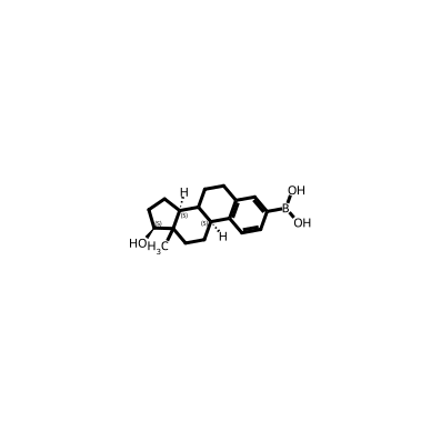 CC12CC[C@@H]3c4ccc(B(O)O)cc4CCC3[C@@H]1CC[C@@H]2O